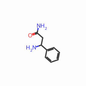 NC(=O)CC(N)c1ccccc1